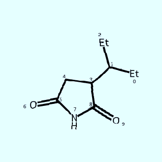 CCC(CC)C1CC(=O)NC1=O